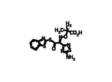 CC(C)(ON=C(C(=O)Sc1nc2ccccc2s1)c1nsc(N)n1)C(=O)O